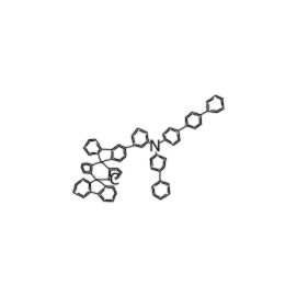 c1ccc(-c2ccc(-c3ccc(N(c4ccc(-c5ccccc5)cc4)c4cccc(-c5ccc6c(c5)-c5ccccc5C65c6ccccc6C6(c7ccccc7-c7ccccc76)c6ccccc65)c4)cc3)cc2)cc1